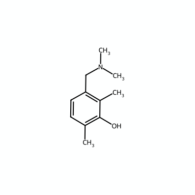 Cc1ccc(CN(C)C)c(C)c1O